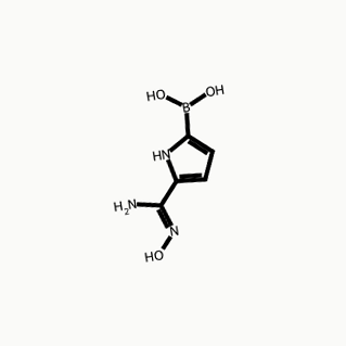 N/C(=N\O)c1ccc(B(O)O)[nH]1